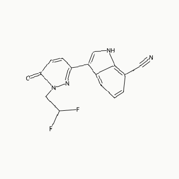 N#Cc1cccc2c(-c3ccc(=O)n(CC(F)F)n3)c[nH]c12